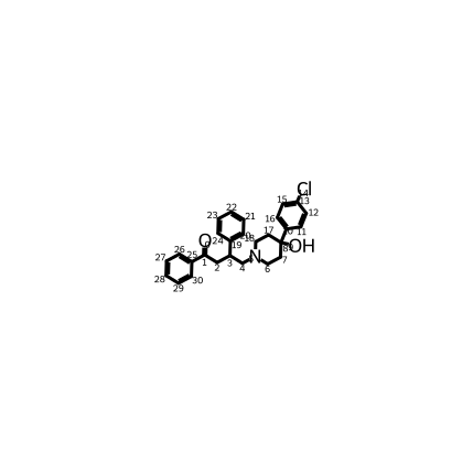 O=C(CC(CN1CCC(O)(c2ccc(Cl)cc2)CC1)c1ccccc1)c1ccccc1